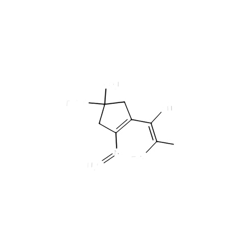 C=NC1=C(/C(C)=C(\C)F)CC(C(=O)OCC)(C(=O)OCC)C1